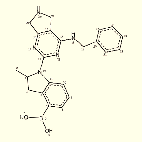 CC1Cc2c(B(O)O)cccc2N1c1nc2c(c(NCc3ccccc3)n1)CNC2